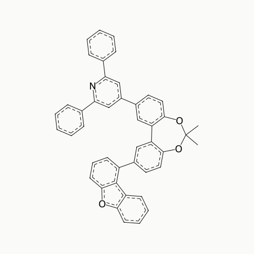 CC1(C)Oc2ccc(-c3cc(-c4ccccc4)nc(-c4ccccc4)c3)cc2-c2cc(-c3cccc4oc5ccccc5c34)ccc2O1